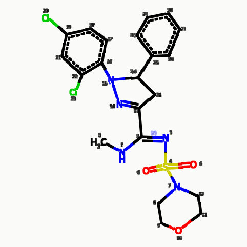 CN/C(=N\S(=O)(=O)N1CCOCC1)C1=NN(c2ccc(Cl)cc2Cl)C(c2ccccc2)C1